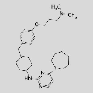 CN(C)CCCOc1ccc(CN2CCC(Nc3nccc(N4CCCCCC4)n3)CC2)cc1